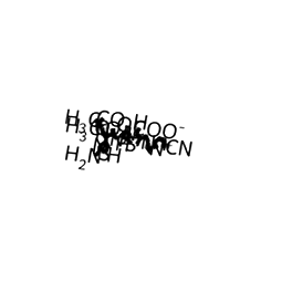 CC(C)(O/N=C(\C(=O)N[C@@H]1C(=O)N2C(C(=O)[O-])=C(Cn3cc[n+]4cc(C#N)ccc34)CS[C@H]12)c1csc(N)n1)C(=O)O